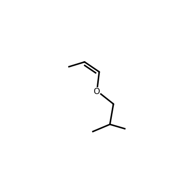 C/C=C\OCC(C)C